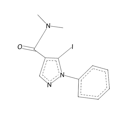 CN(C)C(=O)c1cnn(-c2ccccc2)c1I